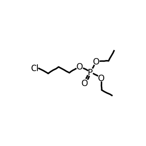 CCOP(=O)(OCC)OCCCCl